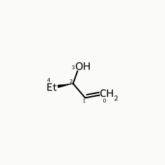 C=C[C@H](O)CC